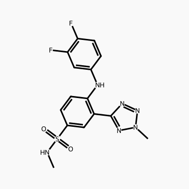 CNS(=O)(=O)c1ccc(Nc2ccc(F)c(F)c2)c(-c2nnn(C)n2)c1